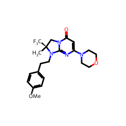 COc1ccc(CCN2c3nc(N4CCOCC4)cc(=O)n3C[C@]2(C)C(F)(F)F)cc1